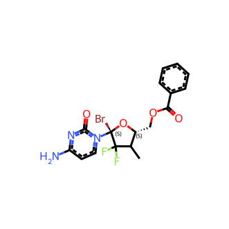 CC1[C@@H](COC(=O)c2ccccc2)O[C@@](Br)(n2ccc(N)nc2=O)C1(F)F